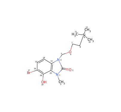 Cn1c(=O)n(COCC[Si](C)(C)C)c2ccc(Br)c(O)c21